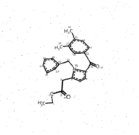 CCOC(=O)Cc1ccc(C(=O)c2ccc(C)c(C)c2)n1Cc1ccccc1